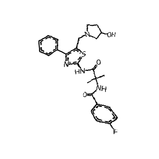 CC(C)(NC(=O)c1ccc(F)cc1)C(=O)Nc1nc(-c2ccccc2)c(CN2CCC(O)C2)s1